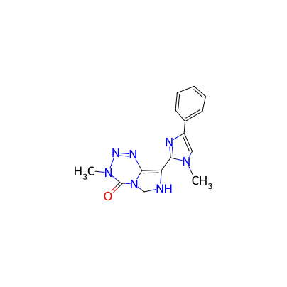 CN1N=NC2=C(c3nc(-c4ccccc4)cn3C)NCN2C1=O